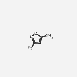 CCc1cc(N)on1